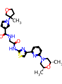 C[C@@H]1CN(c2cccc(-c3csc(NC(=O)CNC(=O)c4ccn(C5(C)CCOC5)c4)n3)n2)C[C@H](C)O1